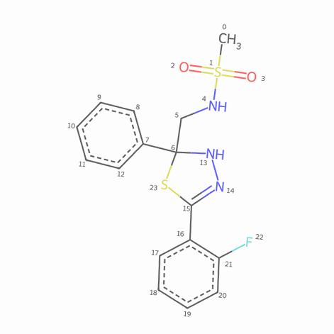 CS(=O)(=O)NCC1(c2ccccc2)NN=C(c2ccccc2F)S1